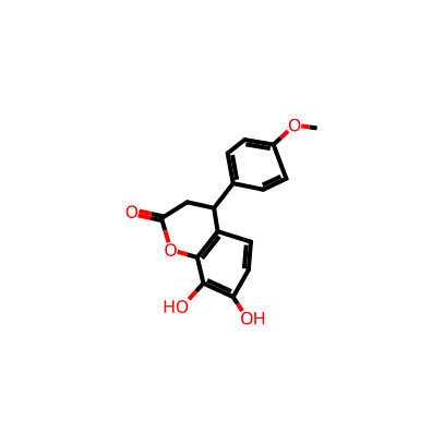 COc1ccc(C2CC(=O)Oc3c2ccc(O)c3O)cc1